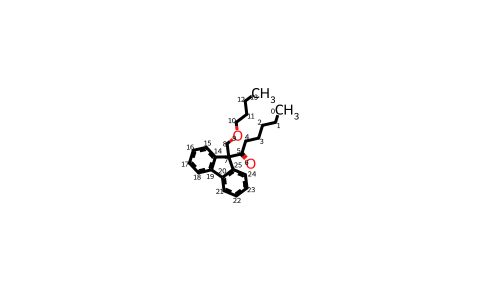 CCCCCC(=O)C1(COCCCC)c2ccccc2-c2ccccc21